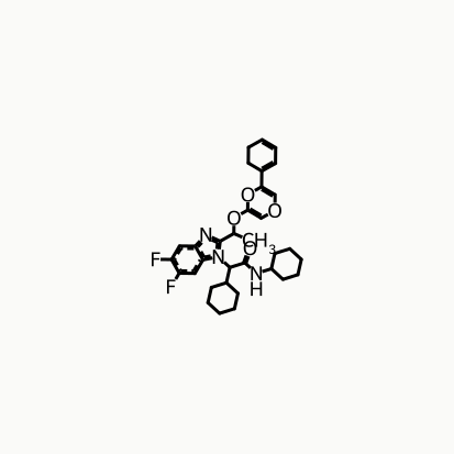 CC(OC1=COC=C(C2=CC=CCC2)O1)c1nc2cc(F)c(F)cc2n1C(C(=O)NC1CCCCC1)C1CCCCC1